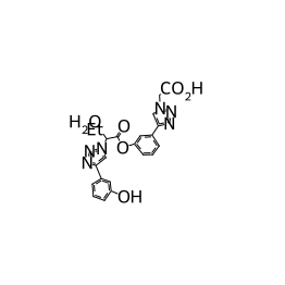 CCC(C(=O)Oc1cccc(-c2cn(CC(=O)O)nn2)c1)n1cc(-c2cccc(O)c2)nn1.O